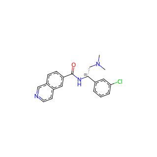 CN(C)C[C@@H](NC(=O)c1ccc2cnccc2c1)c1cccc(Cl)c1